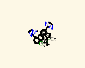 CCC1=Cc2c(-c3nccn3C)cccc2[CH]1[Zr]([Cl])([Cl])([CH]1C(CC)=Cc2c(-c3nccn3C)cccc21)[SiH](C)C